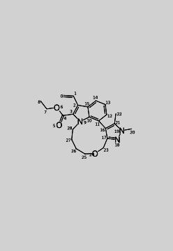 C=Cc1c(C(=O)OCC)n2c3c(cccc13)-c1c(nn(C)c1C)COCCCC2